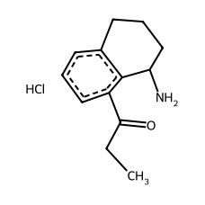 CCC(=O)c1cccc2c1C(N)CCC2.Cl